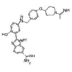 CC(=N)N1CCC(Oc2ccc(CNc3ccc(O)c(-c4nc5ccc(C(=N)N)cc5[nH]4)c3)cc2)CC1